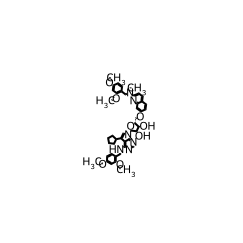 COc1ccc(CNc2ncnc3c2c(C2CCCC2)cn3[C@@H]2O[C@H](COc3ccc4ccc(N(C)Cc5ccc(OC)cc5OC)nc4c3)[C@@H](O)[C@H]2O)c(OC)c1